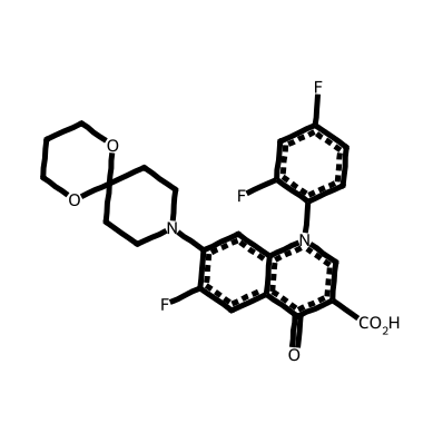 O=C(O)c1cn(-c2ccc(F)cc2F)c2cc(N3CCC4(CC3)OCCCO4)c(F)cc2c1=O